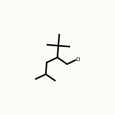 CC(C)CC(CCl)C(C)(C)C